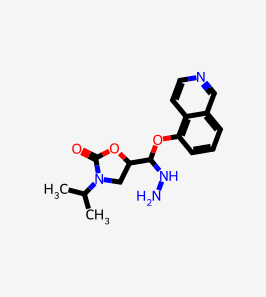 CC(C)N1CC(C(NN)Oc2cccc3cnccc23)OC1=O